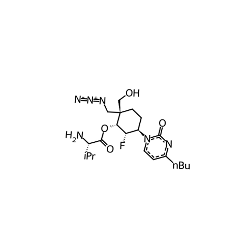 CCCCc1ccn([C@@H]2CC[C@@](CO)(CN=[N+]=[N-])[C@@H](OC(=O)[C@@H](N)C(C)C)[C@H]2F)c(=O)n1